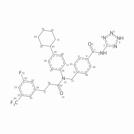 O=C(Nc1nn[nH]n1)c1ccc(CN(C(=O)CCc2cc(F)cc(C(F)(F)F)c2)c2ccc(C3CCCCC3)cc2)cc1